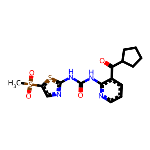 CS(=O)(=O)c1cnc(NC(=O)Nc2ncccc2C(=O)C2CCCC2)s1